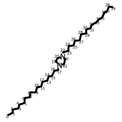 CCCCCCCCCCCCCCCCCCN1CCN(CCCCCCCCCCCCCCCCCC)CC1